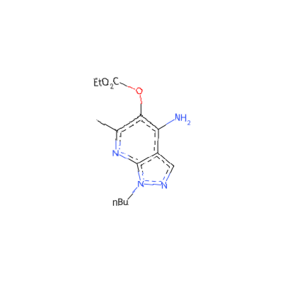 CCCCn1ncc2c(N)c(OC(=O)OCC)c(C)nc21